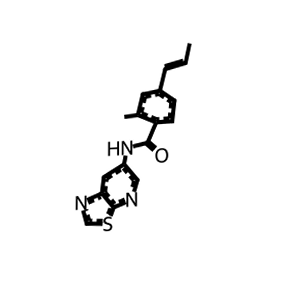 C/C=C/c1ccc(C(=O)Nc2cnc3scnc3c2)c(C)c1